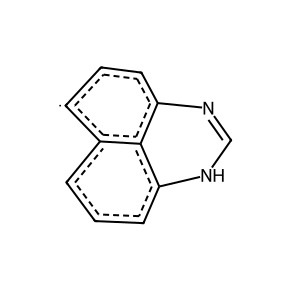 [c]1ccc2c3c(cccc13)NC=N2